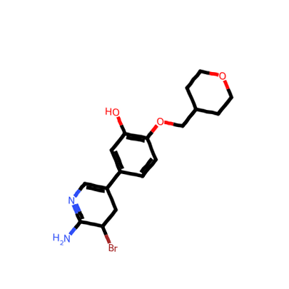 NC1=NC=C(c2ccc(OCC3CCOCC3)c(O)c2)CC1Br